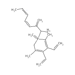 C=CC1=C(C)CP(=C)(C(C)C(=C)/C=C\C=C/C)C(C)=C1C=C